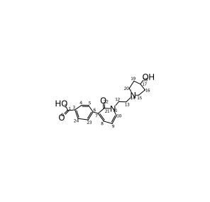 O=C(O)c1ccc(-c2cccn(CCN3CCC(O)CC3)c2=O)cc1